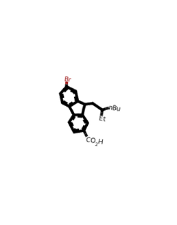 CCCCC(CC)CC1c2cc(Br)ccc2-c2ccc(C(=O)O)cc21